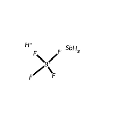 F[B-](F)(F)F.[H+].[SbH3]